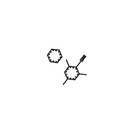 C#Cc1c(C)cc(C)cc1C.c1ccccc1